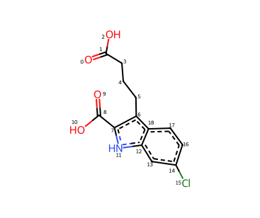 O=C(O)CCCc1c(C(=O)O)[nH]c2cc(Cl)ccc12